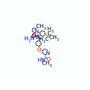 CNC(=O)c1cc(Oc2ccc(N(C(N)=O)c3cc(C(C)(C)C)ccc3-n3c(C)ccc3C)cc2)ccn1